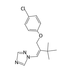 CC(C)(C)/C(=C/n1cncn1)COc1ccc(Cl)cc1